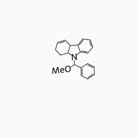 COC(c1ccccc1)N1c2ccccc2C2C=CCCC21